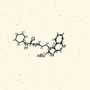 CCCCc1nc2cnc3ccccc3c2n1CCCNC(=O)NC1CCCCC1